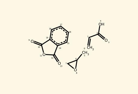 C=CC(=O)O.CC1CO1.O=C1OC(=O)c2ccccc21